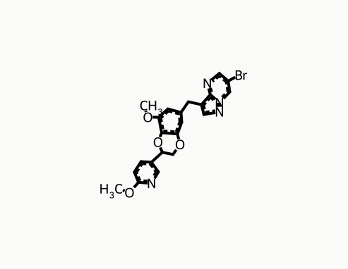 COc1ccc(C2COc3cc(Cc4cnn5cc(Br)cnc45)cc(OC)c3O2)cn1